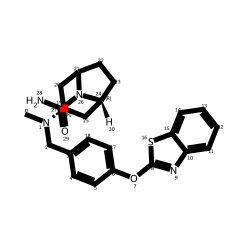 CN(Cc1ccc(Oc2nc3ccccc3s2)cc1)[C@@H]1CC2CC[C@H](C1)N2C(N)=O